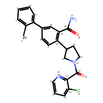 CC(C)c1ccccc1-c1ccc(C2CCN(C(=O)c3ncccc3Cl)C2)c(C(N)=O)c1